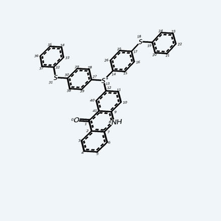 O=c1c2ccccc2[nH]c2ccc([S+](c3ccc(Sc4ccccc4)cc3)c3ccc(Sc4ccccc4)cc3)cc12